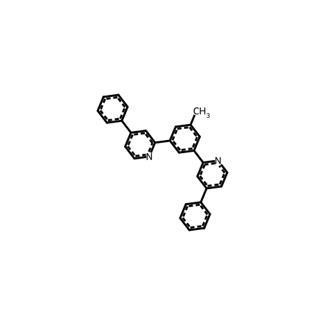 Cc1cc(-c2cc(-c3ccccc3)ccn2)cc(-c2cc(-c3ccccc3)ccn2)c1